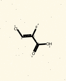 O=C(O)C(F)=CCl